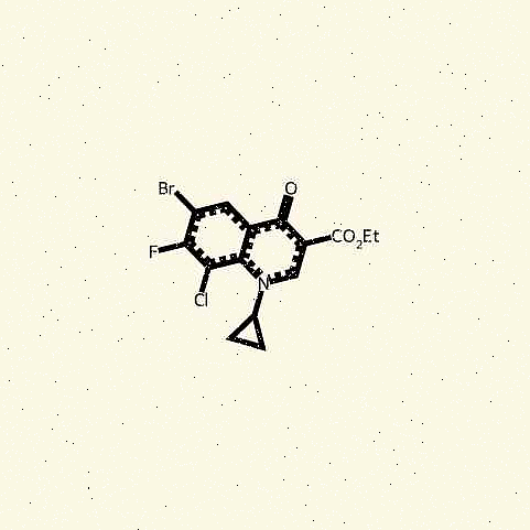 CCOC(=O)c1cn(C2CC2)c2c(Cl)c(F)c(Br)cc2c1=O